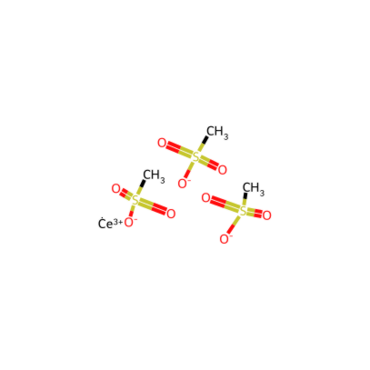 CS(=O)(=O)[O-].CS(=O)(=O)[O-].CS(=O)(=O)[O-].[Ce+3]